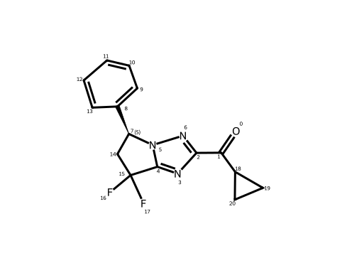 O=C(c1nc2n(n1)[C@H](c1ccccc1)CC2(F)F)C1CC1